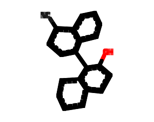 N#Cc1ccc(-c2c(O)ccc3ccccc23)c2ccccc12